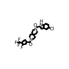 O=C(c1ccc(C(F)(F)F)c(F)c1)N1CCC2(CC1)CCN(C(=O)c1cc3cc(Cl)ccc3[nH]1)CC2